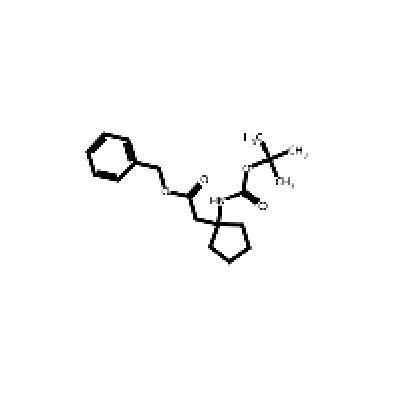 CC(C)(C)OC(=O)NC1(CC(=O)OCc2ccccc2)CCCC1